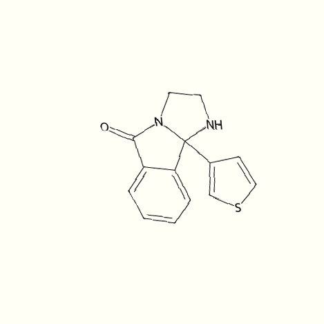 O=C1c2ccccc2C2(c3ccsc3)NCCN12